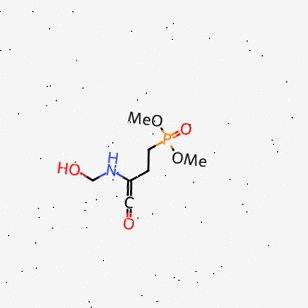 COP(=O)(CCC(=C=O)NCO)OC